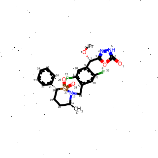 CC(C)O[C@H](c1n[nH]c(=O)o1)c1cc(F)c(CN2[C@@H](C)CC[C@H](c3ccccc3)S2(=O)=O)cc1F